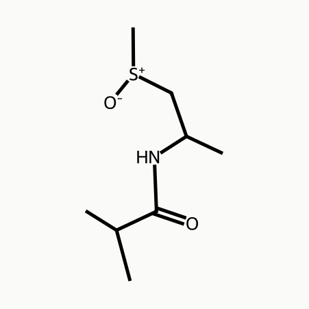 CC(C[S+](C)[O-])NC(=O)C(C)C